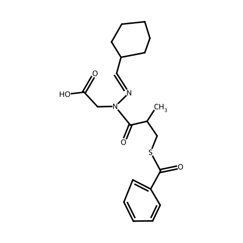 CC(CSC(=O)c1ccccc1)C(=O)N(CC(=O)O)N=CC1CCCCC1